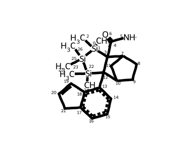 C[Si]1(C)C2(C([NH])=O)C3CCC(C3)C2(c2cccc3c2C=CC3)[Si](C)(C)[Si]1(C)C